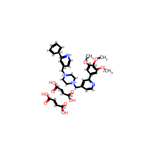 COc1cc(-c2cc(CN3CCN(Cc4ccnc(-c5ccccc5)c4)CC3)ccn2)cc(OC)c1OC.O=C(O)/C=C/C(=O)O.O=C(O)/C=C/C(=O)O